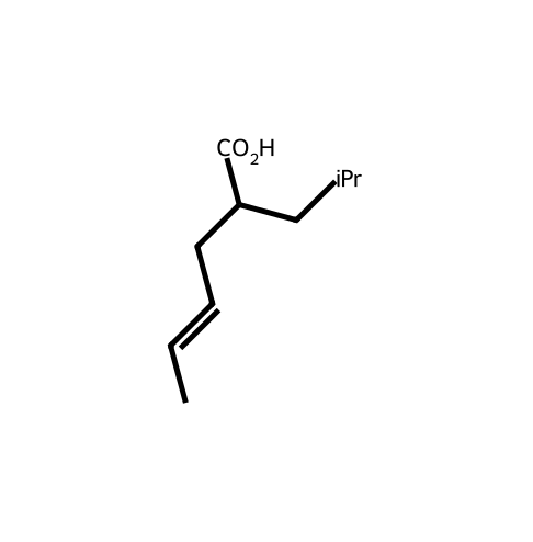 C/C=C/CC(CC(C)C)C(=O)O